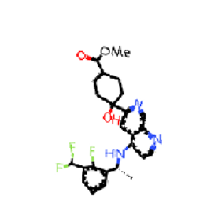 COC(=O)C1CCC(O)(c2cc3c(N[C@H](C)c4cccc(C(F)F)c4F)ccnc3cn2)CC1